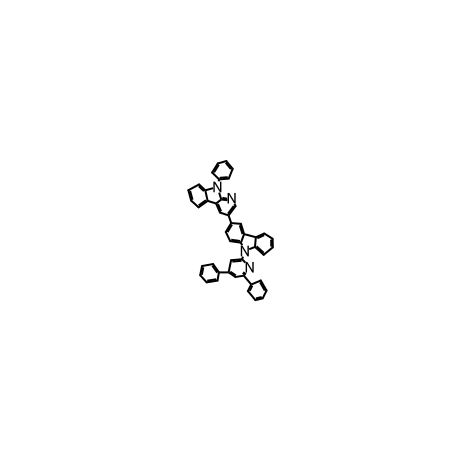 c1ccc(-c2cc(-c3ccccc3)nc(-n3c4ccccc4c4cc(-c5cnc6c(c5)c5ccccc5n6-c5ccccc5)ccc43)c2)cc1